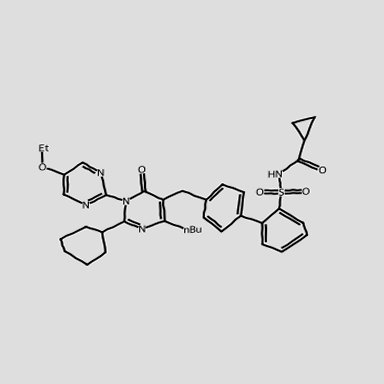 CCCCc1nc(C2CCCCC2)n(-c2ncc(OCC)cn2)c(=O)c1Cc1ccc(-c2ccccc2S(=O)(=O)NC(=O)C2CC2)cc1